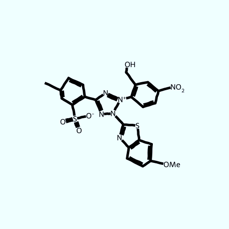 COc1ccc2nc(-n3nc(-c4ccc(C)cc4S(=O)(=O)[O-])n[n+]3-c3ccc([N+](=O)[O-])cc3CO)sc2c1